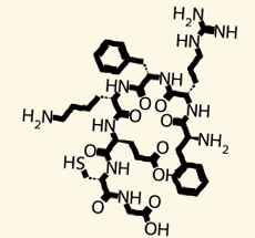 N=C(N)NCCC[C@H](NC(=O)[C@@H](N)Cc1ccccc1)C(=O)N[C@@H](Cc1ccccc1)C(=O)N[C@@H](CCCCN)C(=O)N[C@@H](CCC(=O)O)C(=O)N[C@@H](CS)C(=O)NCC(=O)O